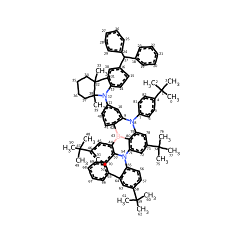 CC(C)(C)c1ccc(N2c3cc(N4c5ccc(C(c6ccccc6)c6ccccc6)cc5C5(C)CCCCC45C)ccc3B3c4cc(C(C)(C)C)ccc4N(c4ccc(C(C)(C)C)cc4-c4ccccc4)c4cc(C(C)(C)C)cc2c43)cc1